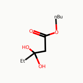 CCCCOC(=O)CC(O)(O)CC